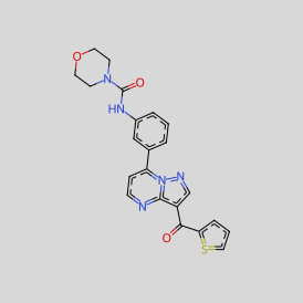 O=C(c1cccs1)c1cnn2c(-c3cccc(NC(=O)N4CCOCC4)c3)ccnc12